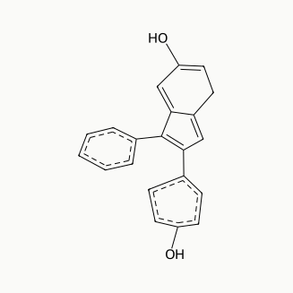 OC1=CCC2=CC(c3ccc(O)cc3)=C(c3ccccc3)C2=C1